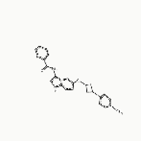 O=C(Nc1c[nH]c2ccc(OC3CC(c4ccc(C(F)(F)F)cc4)C3)cc12)c1ccccn1